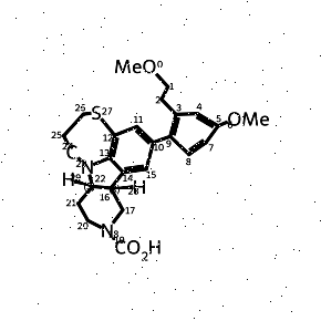 COCCc1cc(OC)ccc1-c1cc2c3c(c1)[C@@H]1CN(C(=O)O)CC[C@@H]1N3CCCS2